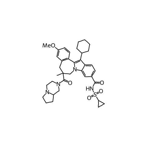 COc1ccc2c(c1)CC(C)(C(=O)N1CCN3CCCC3C1)Cn1c-2c(C2CCCCC2)c2ccc(C(=O)NS(=O)(=O)C3CC3)cc21